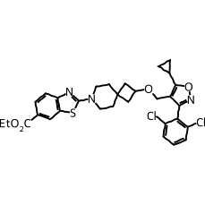 CCOC(=O)c1ccc2nc(N3CCC4(CC3)CC(OCc3c(-c5c(Cl)cccc5Cl)noc3C3CC3)C4)sc2c1